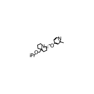 Cc1cc(OC[C@@H]2CC[C@]3(COC(C)C)CCCN23)ccn1